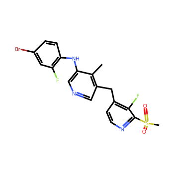 Cc1c(Cc2ccnc(S(C)(=O)=O)c2F)cncc1Nc1ccc(Br)cc1F